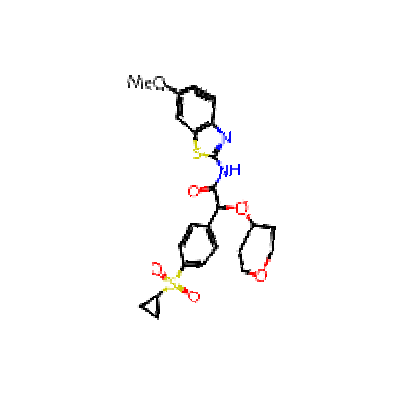 COc1ccc2nc(NC(=O)C(OC3CCOCC3)c3ccc(S(=O)(=O)C4CC4)cc3)sc2c1